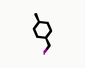 C[C@H]1CC[C@@H](CI)CC1